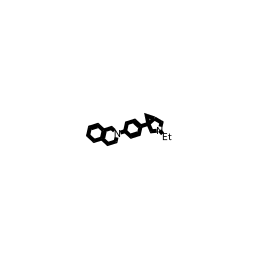 CCN1CC2CC2(C2=CCC(N3CCC4=C(C=CCC4)C3)C=C2)C1